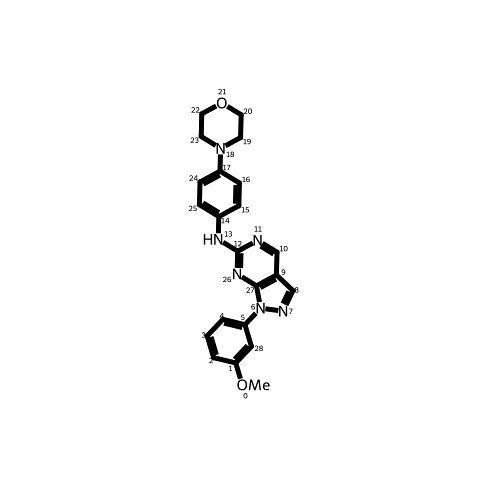 COc1cccc(-n2ncc3cnc(Nc4ccc(N5CCOCC5)cc4)nc32)c1